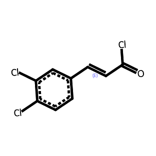 O=C(Cl)/C=C/c1ccc(Cl)c(Cl)c1